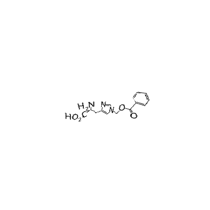 N[C@@H](Cc1cn(COC(=O)c2ccccc2)cn1)C(=O)O